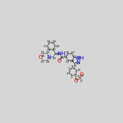 CS(=O)(=O)c1cccc(-c2n[nH]c3ccc(C(=O)NC(CN4CCOCC4)c4ccccc4)cc23)c1